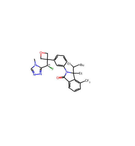 CCCCC(CC)C1(CC)c2c(cccc2C(F)(F)F)C(=O)N1c1cccc(C2([C@@H](F)c3nncn3C)COC2)c1